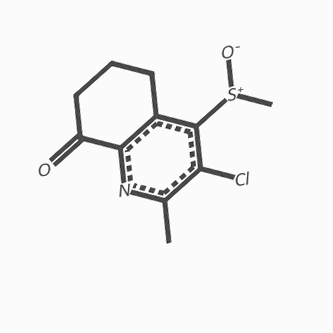 Cc1nc2c(c([S+](C)[O-])c1Cl)CCCC2=O